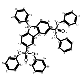 O=P(Oc1ccccc1)(Oc1ccccc1)c1ccc2c(c1)c1cc(P(=O)(Oc3ccccc3)Oc3ccccc3)ccc1n2-c1ccccc1